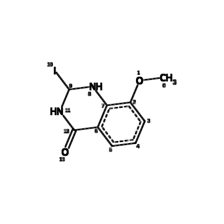 COc1cccc2c1NC(I)NC2=O